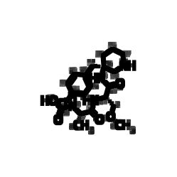 COC[C@H](NC(=O)[C@H](C)NC(=O)O)C(=O)N[C@@]1(Cc2ccc(Cl)cc2)CCCNC1